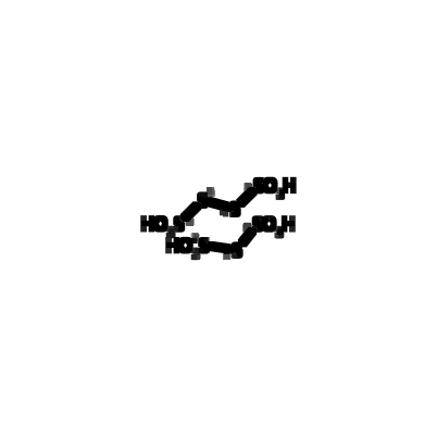 O=S(=O)(O)SS(=O)(=O)O.O=S(=O)(O)SSS(=O)(=O)O